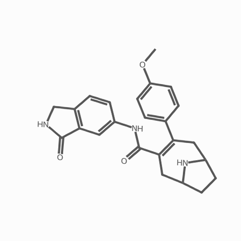 COc1ccc(C2=C(C(=O)Nc3ccc4c(c3)C(=O)NC4)CC3CCC(C2)N3)cc1